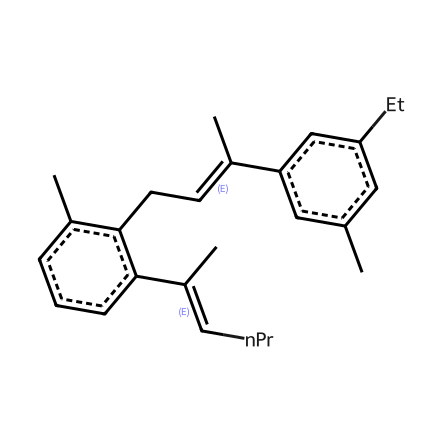 CCC/C=C(\C)c1cccc(C)c1C/C=C(\C)c1cc(C)cc(CC)c1